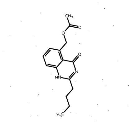 CCCCc1nc(=O)c2c(COC(C)=O)cccc2[nH]1